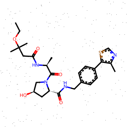 CCOC(C)(C)CC(=O)N[C@@H](C)C(=O)N1C[C@H](O)C[C@H]1C(=O)NCc1ccc(-c2scnc2C)cc1